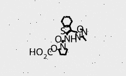 Cc1noc(-c2c(NC(=O)N3CCC[C@H]3OC(=O)O)sc3c2CCCC3)n1